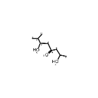 CC(O)CC(=O)CC(O)C(C)C